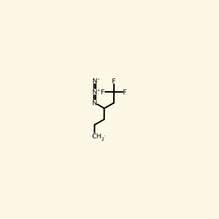 [CH2]CCC(CC(F)(F)F)N=[N+]=[N-]